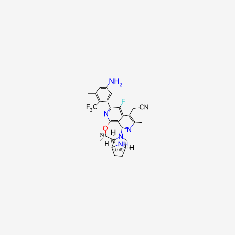 Cc1cc(N)cc(-c2nc3c4c(nc(C)c(CC#N)c4c2F)N2C[C@H]4CC[C@H](N4)[C@H]2[C@H](C)O3)c1C(F)(F)F